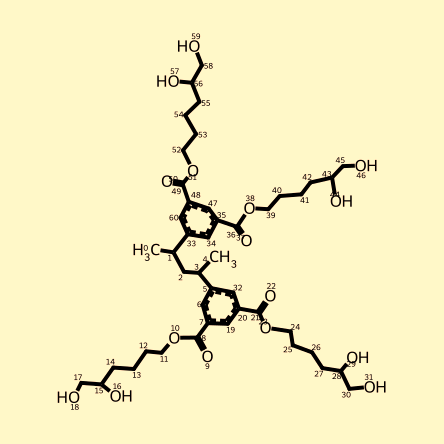 CC(CC(C)c1cc(C(=O)OCCCCC(O)CO)cc(C(=O)OCCCCC(O)CO)c1)c1cc(C(=O)OCCCCC(O)CO)cc(C(=O)OCCCCC(O)CO)c1